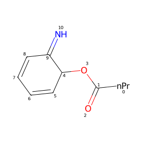 CCCC(=O)OC1C=CC=CC1=N